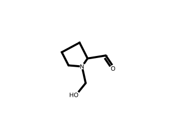 O=[C]C1CCCN1CO